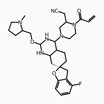 C=CC(=O)N1CCN(C2NC(OCC3CCCN3C)NC3C[C@]4(CCC32)Cc2c(F)cccc2O4)CC1CC#N